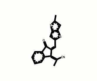 C/C(C#N)=C1/C(=C/c2cc3sc(C)cc3s2)C(=O)c2ccccc21